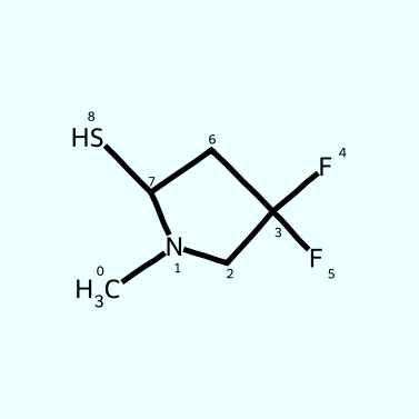 CN1CC(F)(F)CC1S